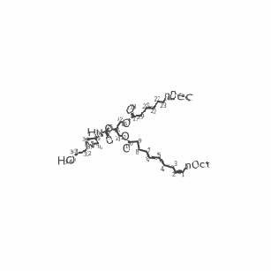 CCCCCCCC/C=C\CCCCCCCC(=O)OCC(COC(=O)CCCCCCCCCCCCCCC)OC(=O)NC1CN(CCO)C1